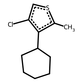 Cc1scc(Cl)c1C1CCCCC1